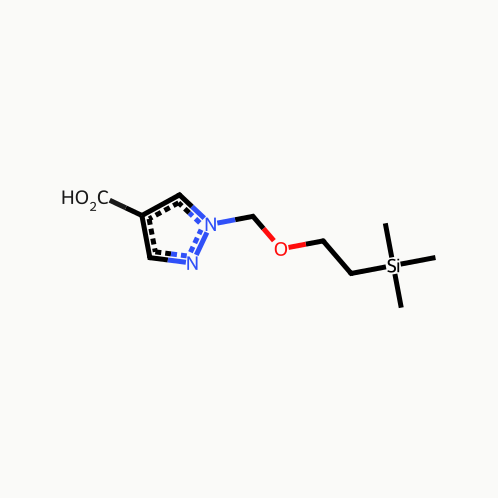 C[Si](C)(C)CCOCn1cc(C(=O)O)cn1